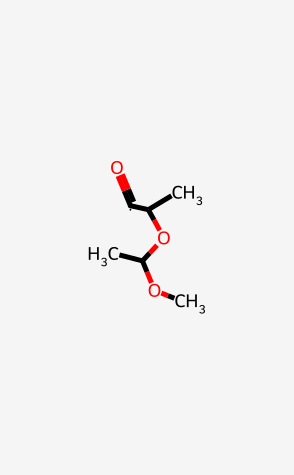 COC(C)OC(C)[C]=O